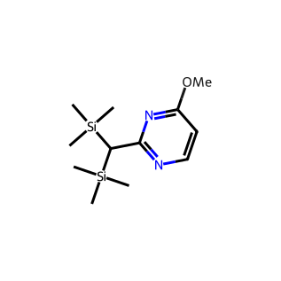 COc1ccnc(C([Si](C)(C)C)[Si](C)(C)C)n1